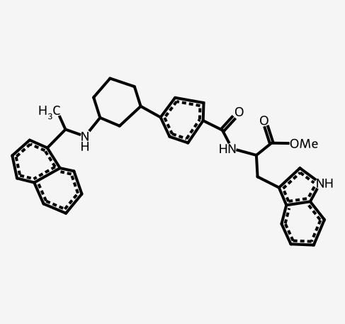 COC(=O)C(Cc1c[nH]c2ccccc12)NC(=O)c1ccc(C2CCCC(NC(C)c3cccc4ccccc34)C2)cc1